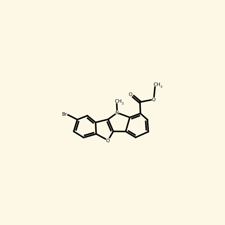 COC(=O)c1cccc2c3oc4ccc(Br)cc4c3n(C)c12